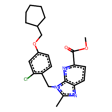 COC(=O)c1ccc2nc(C)n(Cc3ccc(OCC4CCCCC4)cc3Cl)c2n1